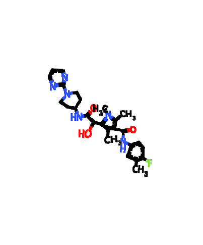 Cc1cc(NC(=O)c2c(C)c(C(O)C(=O)NC3CCN(c4ncccn4)CC3)n(C)c2C)ccc1F